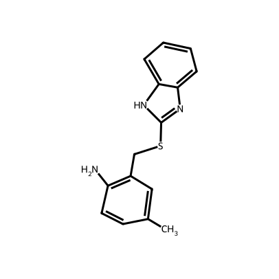 Cc1ccc(N)c(CSc2nc3ccccc3[nH]2)c1